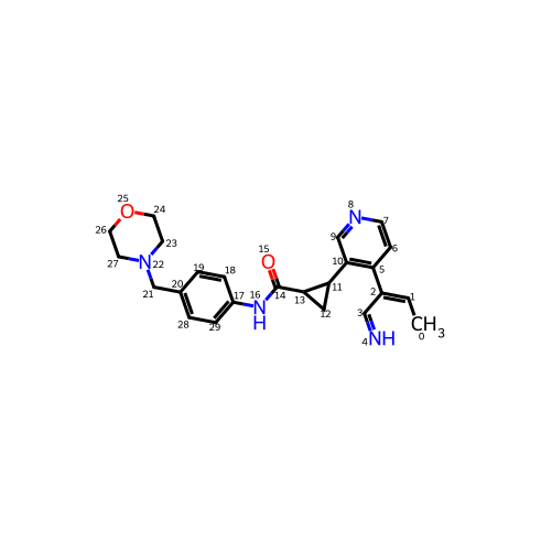 C/C=C(\C=N)c1ccncc1C1CC1C(=O)Nc1ccc(CN2CCOCC2)cc1